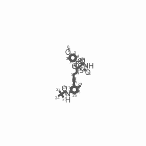 COc1ccc(S(=O)(=O)C2(CCCC#Cc3cc(NC(=O)C(C)(C)C)ccc3C)SC(=O)NC2=O)cc1